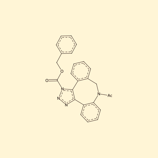 CC(=O)N1Cc2ccccc2-c2c(nnn2C(=O)OCc2ccccc2)-c2ccccc21